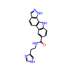 O=C(NCCc1c[nH]cn1)c1ccc2[nH]c3c(ccc4cn[nH]c43)c2c1